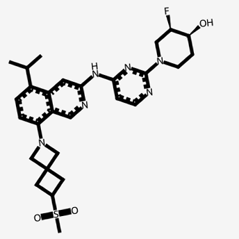 CC(C)c1ccc(N2CC3(CC(S(C)(=O)=O)C3)C2)c2cnc(Nc3ccnc(N4CC[C@H](O)[C@H](F)C4)n3)cc12